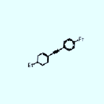 CCc1ccc(C#CC2=CCC(CC)CC2)cc1